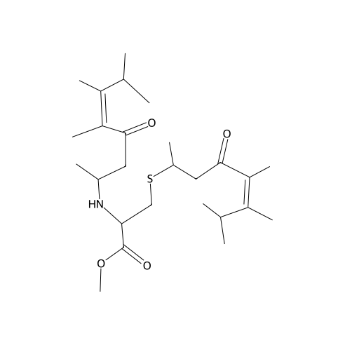 COC(=O)C(CSC(C)CC(=O)C(C)=C(C)C(C)C)NC(C)CC(=O)C(C)=C(C)C(C)C